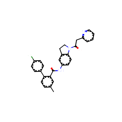 Cc1ccc(-c2ccc(Cl)cc2)c(C(=O)Nc2ccc3c(c2)CCN3C(=O)Cc2ccccn2)c1